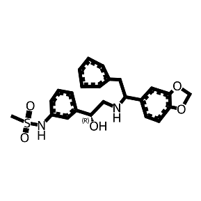 CS(=O)(=O)Nc1cccc([C@@H](O)CNC(Cc2ccccc2)c2ccc3c(c2)OCO3)c1